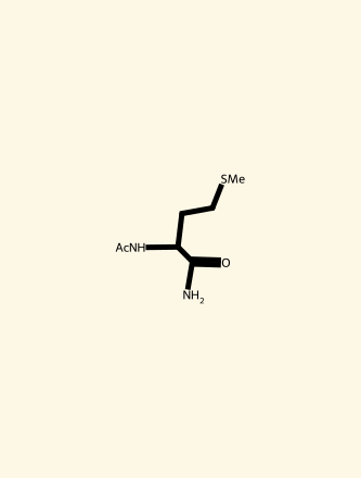 CSCCC(NC(C)=O)C(N)=O